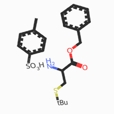 CC(C)(C)SCC(N)C(=O)OCc1ccccc1.Cc1ccc(S(=O)(=O)O)cc1